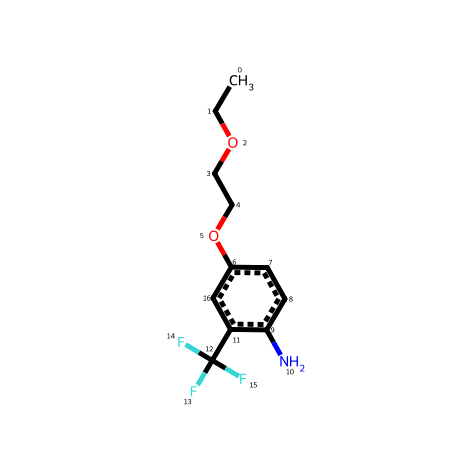 CCOCCOc1ccc(N)c(C(F)(F)F)c1